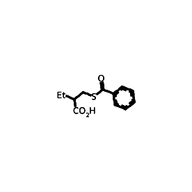 CCC(CSC(=O)c1ccccc1)C(=O)O